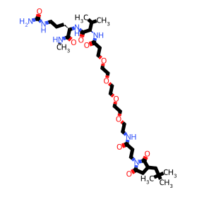 CNC(=O)[C@H](CCCNC(N)=O)NC(=O)[C@@H](NC(=O)CCOCCOCCOCCOCCNC(=O)CCN1C(=O)CC(CC(C)(C)C)C1=O)C(C)C